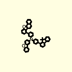 CC1(C)c2ccccc2-c2cccc(-c3ccc(N(c4cccc(-c5cccc6oc7c8ccccc8ccc7c56)c4)c4ccc5oc6ccccc6c5c4)cc3)c21